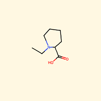 CCN1CCCCC1C(=O)O